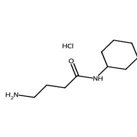 Cl.NCCCC(=O)NC1CCCCC1